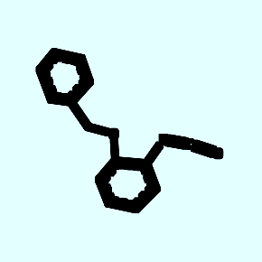 O=C=Nc1ccccc1OCc1ccccc1